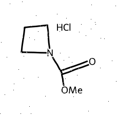 COC(=O)N1CCC1.Cl